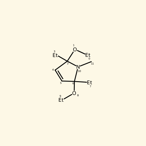 CCOC1(CC)C=CC(CC)(OCC)N1C